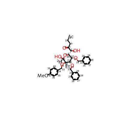 [2H][C@]1(O)O[C@H](C(O)C(=O)CCC(C)=O)[C@H](OCc2ccccc2)[C@H](OCc2ccccc2)[C@@]1(CC)OCc1ccc(OC)cc1